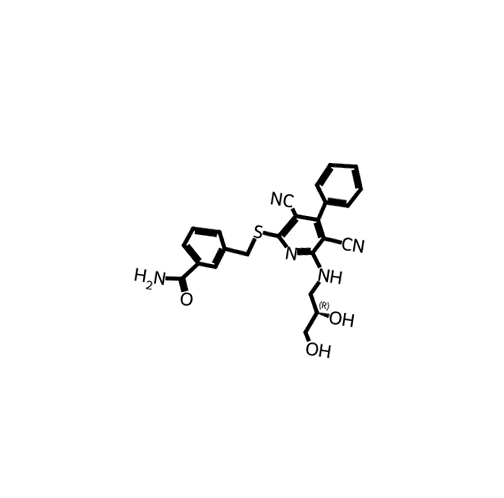 N#Cc1c(NC[C@@H](O)CO)nc(SCc2cccc(C(N)=O)c2)c(C#N)c1-c1ccccc1